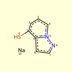 Sc1cccn2nccc12.[Na]